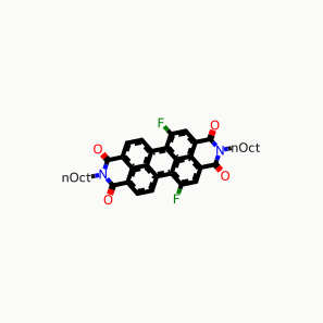 CCCCCCCCN1C(=O)c2ccc3c4c(F)cc5c6c(cc(F)c(c7ccc(c2c37)C1=O)c64)C(=O)N(CCCCCCCC)C5=O